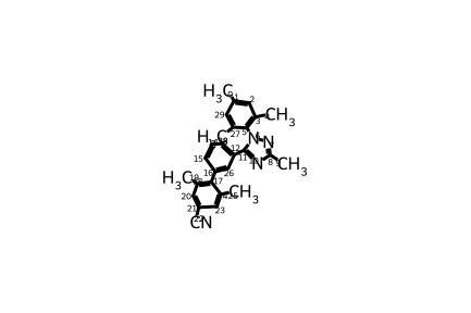 Cc1cc(C)c(-n2nc(C)nc2-c2cccc(-c3c(C)cc(C#N)cc3C)c2)c(C)c1